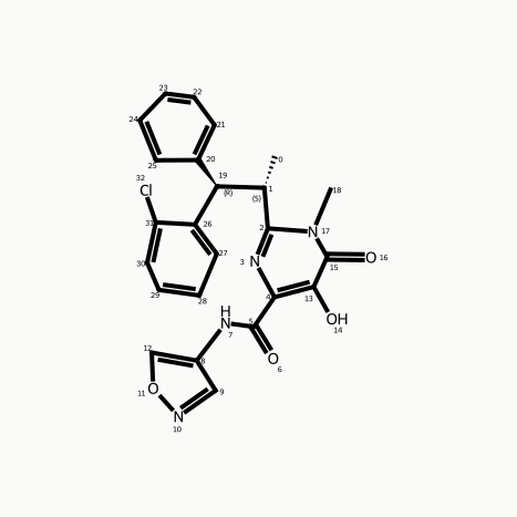 C[C@H](c1nc(C(=O)Nc2cnoc2)c(O)c(=O)n1C)[C@H](c1ccccc1)c1ccccc1Cl